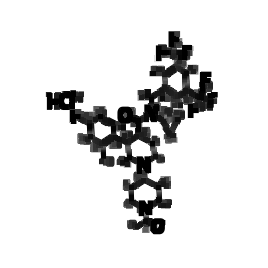 CC(=O)N1CCC(N2CCC(C(=O)N(Cc3cc(C(F)(F)F)cc(C(F)(F)F)c3)C3CC3)C(c3ccc(F)cc3C)C2)CC1.Cl